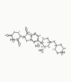 O=C1CCC(N2Cc3cc([C@@]4(O)CCN(CC5CCNCC5)C[C@@H]4O)ccc3C2=O)C(=O)N1